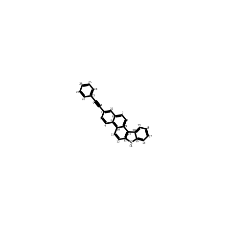 C(#Cc1ccc2c(ccc3c2ccc2sc4ccccc4c23)c1)c1ccccc1